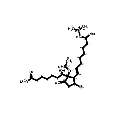 COC(=O)CCCCCC(O)C1(O[SiH](C)C)C(=O)CC(C(C)(C)C)C1C=CCCCCCC(O[SiH](C)C)C(C)(C)C